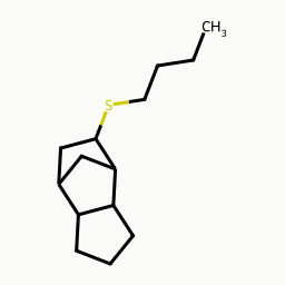 CCCCSC1CC2CC1C1CCCC21